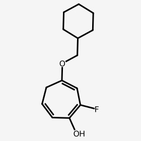 OC1=C(F)C=C(OCC2CCCCC2)CC=C1